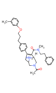 CC(=O)N1CC2CC(c3ccc(CCCOc4cccc(C)c4)cc3)=C(C(=O)N(C)CCc3ccccc3)[C@@H](C1)N2